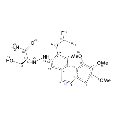 COc1cc(/C=C\c2ccc(OC(F)F)c(NN[C@@H](CO)C(N)=O)c2)cc(OC)c1OC